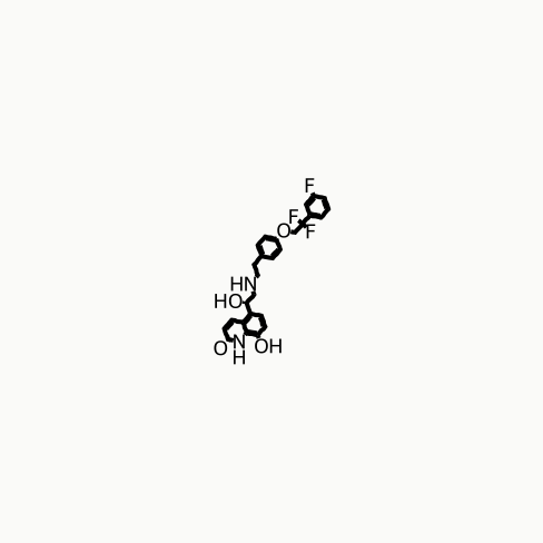 O=c1ccc2c([C@@H](O)CNCCc3ccc(OCC(F)(F)c4cccc(F)c4)cc3)ccc(O)c2[nH]1